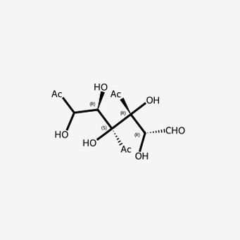 CC(=O)C(O)[C@@H](O)[C@@](O)(C(C)=O)[C@@](O)(C(C)=O)[C@@H](O)C=O